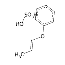 CC=COc1ccccc1.O=S(=O)(O)O